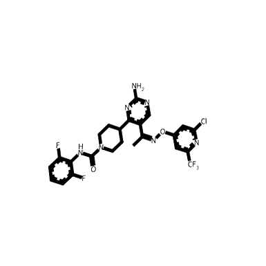 CC(=NOc1cc(Cl)nc(C(F)(F)F)c1)c1cnc(N)nc1C1CCN(C(=O)Nc2c(F)cccc2F)CC1